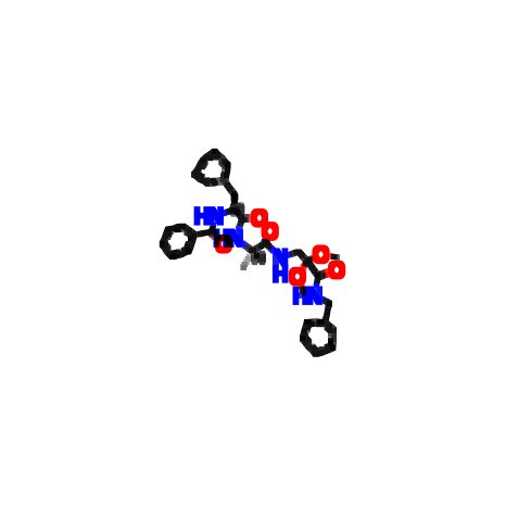 COC(CNC(=O)[C@H](C)NC(=O)[C@H](Cc1ccccc1)NC(=O)c1ccccc1)(OC)C(=O)NCc1ccccc1